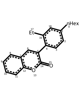 CCCCCCc1ccc(-c2cc3ccccc3oc2=O)c(CC)c1